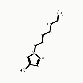 CCNCCCCn1cc(C)cn1